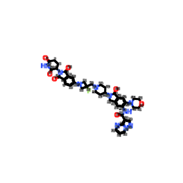 O=C1CCC(N2C(=O)c3ccc(N4CC(F)(CN5CCC(N6Cc7cc(NC(=O)c8cnn9cccnc89)c(N8CCOCC8)cc7C6=O)CC5)C4)cc3C2=O)C(=O)N1